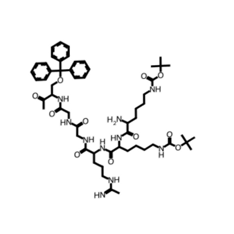 CC(=N)NCCCC(NC(=O)C(CCCCNC(=O)OC(C)(C)C)NC(=O)C(N)CCCCNC(=O)OC(C)(C)C)C(=O)NCC(=O)NCC(=O)NC(COC(c1ccccc1)(c1ccccc1)c1ccccc1)C(C)=O